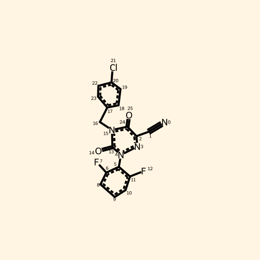 N#Cc1nn(-c2c(F)cccc2F)c(=O)n(Cc2ccc(Cl)cc2)c1=O